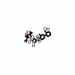 Cc1cc(-c2ccccc2CO)ccc1S(=O)(=O)[C@H]1CN[C@H](C(=O)N(C(=O)C2(C(F)(F)F)CC2)C2(C#N)CC2)C1